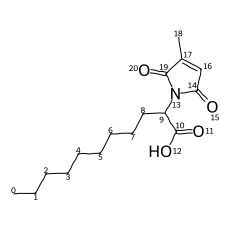 CCCCCCCCCC(C(=O)O)N1C(=O)C=C(C)C1=O